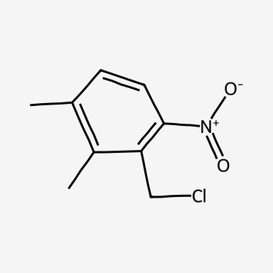 Cc1ccc([N+](=O)[O-])c(CCl)c1C